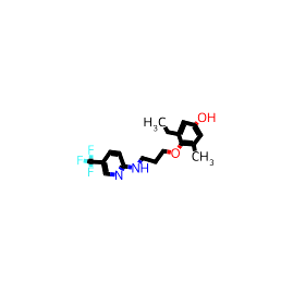 CCc1cc(O)cc(C)c1OCCCNc1ccc(C(F)(F)F)cn1